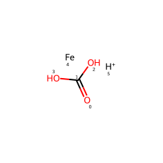 O=C(O)O.[Fe].[H+]